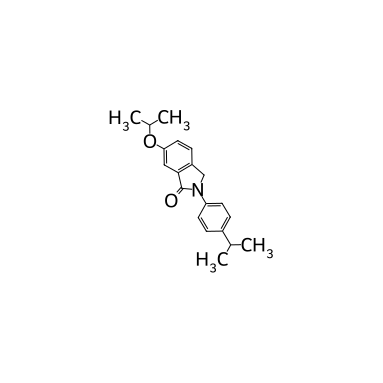 CC(C)Oc1ccc2c(c1)C(=O)N(c1ccc(C(C)C)cc1)C2